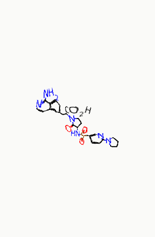 Nc1nccc2cc(C[C@H](C(=O)O)N3CC[C@H](NS(=O)(=O)c4ccc(N5CCCC5)nc4)C3=O)ccc12